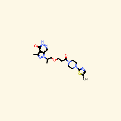 Cc1nn(C(C)COCCC(=O)N2CCN(c3ncc(C#N)s3)CC2)c2cn[nH]c(=O)c12